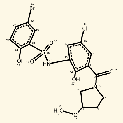 COC1CCN(C(=O)c2cc(Cl)cc(NS(=O)(=O)c3cc(Br)ccc3O)c2O)C1